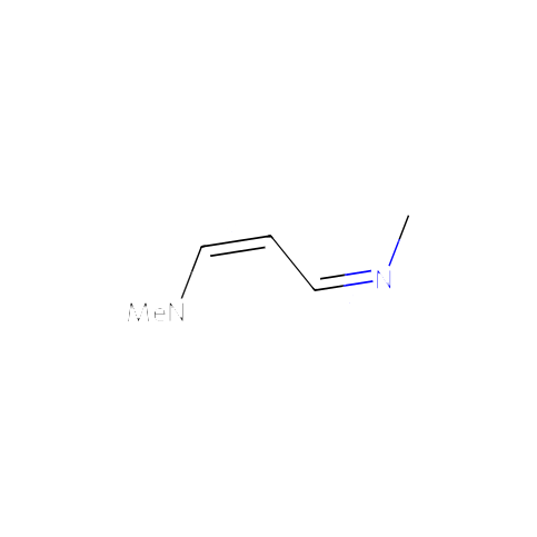 C/N=C\C=C/NC